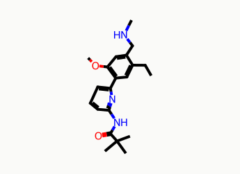 CCc1cc(-c2cccc(NC(=O)C(C)(C)C)n2)c(OC)cc1CNC